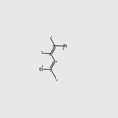 CC/C(I)=C\C(C)=C(\C)C(C)C